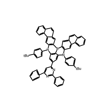 CC(C)(C)c1ccc(N2c3cc4c(ccc5ccccc54)cc3B3c4cc5ccc6ccccc6c5cc4N(c4ccc(C(C)(C)C)cc4)c4cc(-c5cc(-c6ccccc6)nc(-c6ccccc6)n5)cc2c43)cc1